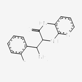 NC(c1ccccc1F)C1Nc2ncccc2NC1=O